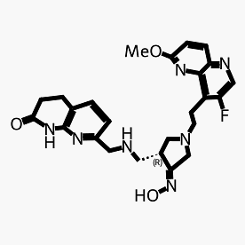 COc1ccc2ncc(F)c(CCN3CC(=NO)[C@H](CNCc4ccc5c(n4)NC(=O)CC5)C3)c2n1